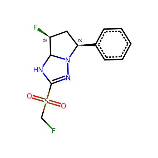 O=S(=O)(CF)C1=NN2C(N1)[C@@H](F)C[C@H]2c1ccccc1